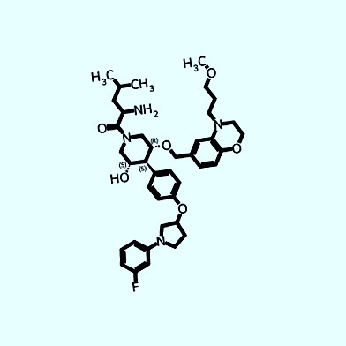 COCCCN1CCOc2ccc(CO[C@H]3CN(C(=O)C(N)CC(C)C)C[C@@H](O)[C@@H]3c3ccc(OC4CCN(c5cccc(F)c5)C4)cc3)cc21